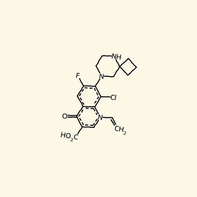 C=Cn1cc(C(=O)O)c(=O)c2cc(F)c(N3CCNC4(CCC4)C3)c(Cl)c21